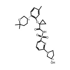 Cc1ccc([C@@H]2CCC(C)(C)OC2)c(OC2(C(=O)NS(=O)(=O)c3cccc(N4CC[C@H](O)C4)n3)CC2)c1